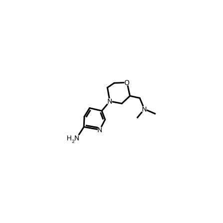 CN(C)CC1CN(c2ccc(N)nc2)CCO1